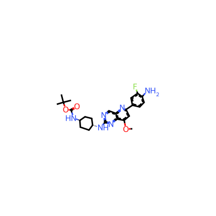 COc1cc(-c2ccc(N)c(F)c2)nc2cnc(N[C@H]3CC[C@H](NC(=O)OC(C)(C)C)CC3)nc12